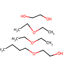 CCCCOCCO.CCOCC.CCOCC.OCCO